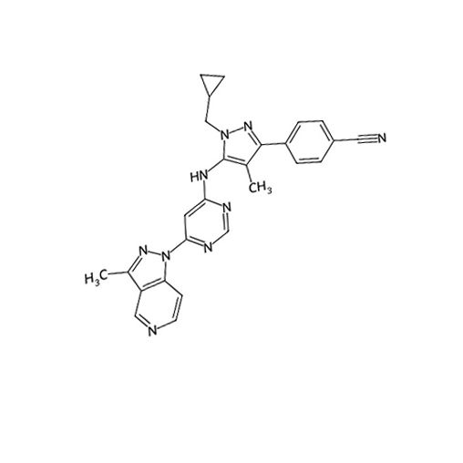 Cc1c(-c2ccc(C#N)cc2)nn(CC2CC2)c1Nc1cc(-n2nc(C)c3cnccc32)ncn1